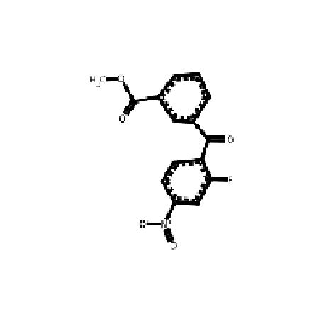 COC(=O)c1cccc(C(=O)c2ccc([N+](=O)[O-])cc2F)c1